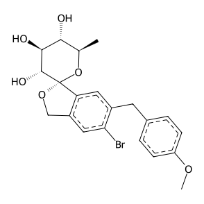 COc1ccc(Cc2cc3c(cc2Br)CO[C@]32O[C@H](C)[C@@H](O)[C@H](O)[C@H]2O)cc1